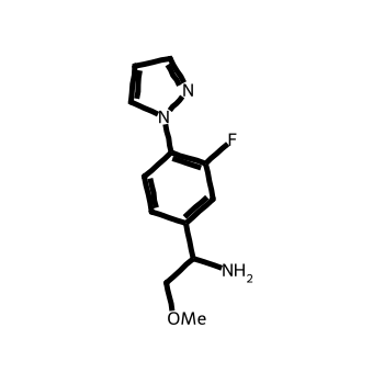 COCC(N)c1ccc(-n2cccn2)c(F)c1